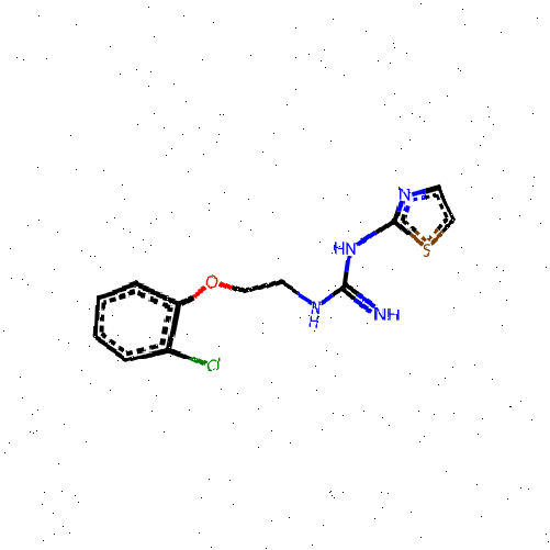 N=C(NCCOc1ccccc1Cl)Nc1nccs1